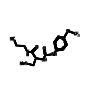 CSCC(NC(=O)Nc1ccc(OC(F)(F)F)cc1)C(=O)NCCC#N